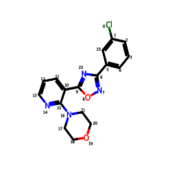 Clc1cccc(-c2noc(-c3cccnc3N3CCOCC3)n2)c1